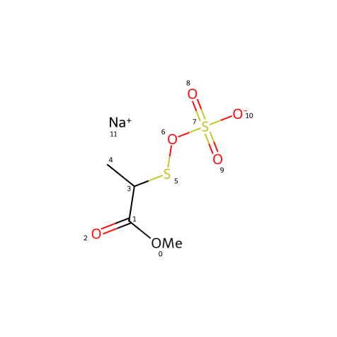 COC(=O)C(C)SOS(=O)(=O)[O-].[Na+]